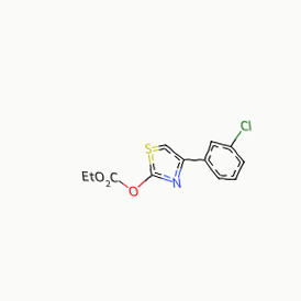 CCOC(=O)Oc1nc(-c2cccc(Cl)c2)cs1